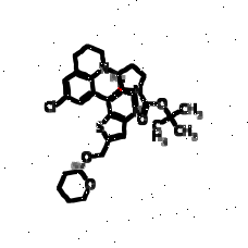 CC(C)(C)OC(=O)N1CC[C@H](N2CCCc3cc(Cl)cc(-c4c(F)cnc5cc(CO[C@H]6CCCCO6)sc45)c32)C1